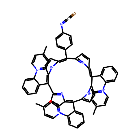 Cc1cc[n+](-c2ccccc2-c2c3nc(c(-c4ccccc4-[n+]4ccc(C)cc4)c4ccc([nH]4)c(-c4ccccc4-[n+]4ccc(C)cc4)c4nc(c(-c5ccc(N=C=S)cc5)c5ccc2[nH]5)C=C4)C=C3)cc1